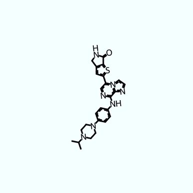 CC(C)N1CCN(c2ccc(Nc3ncc(-c4cc5c(s4)C(=O)NC5)n4ccnc34)cc2)CC1